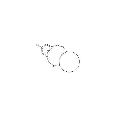 Ic1cc2nc(c1)CSC1CCCCCCCC(CC1)SC2